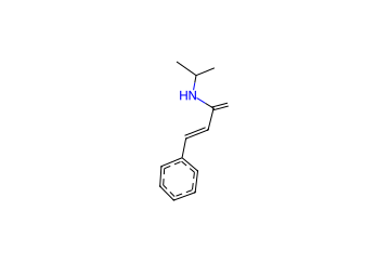 C=C(/C=C/c1ccccc1)NC(C)C